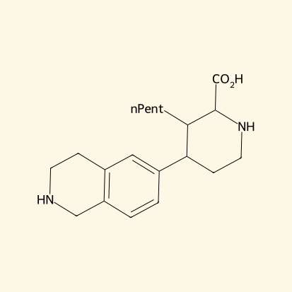 CCCCCC1C(C(=O)O)NCCC1c1ccc2c(c1)CCNC2